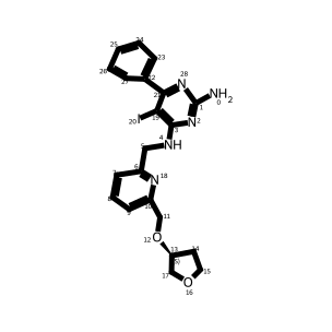 Nc1nc(NCc2cccc(CO[C@H]3CCOC3)n2)c(I)c(-c2ccccc2)n1